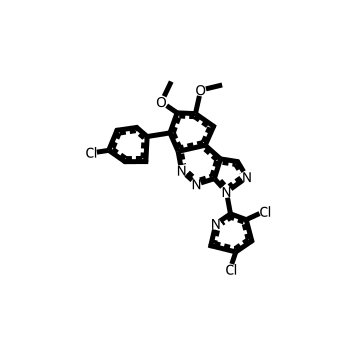 COc1cc2c(nnc3c2cnn3-c2ncc(Cl)cc2Cl)c(-c2ccc(Cl)cc2)c1OC